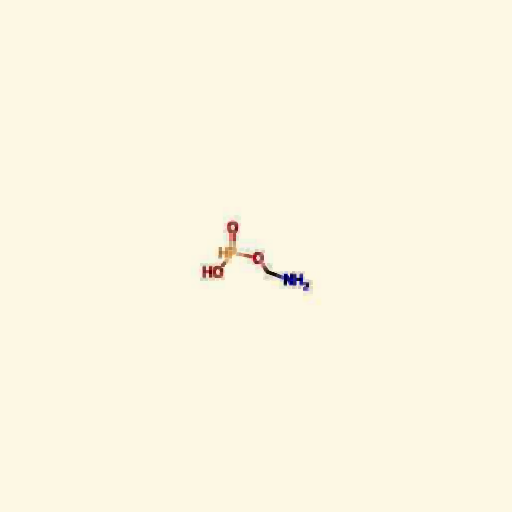 NCO[PH](=O)O